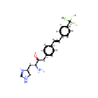 NC(CC1CNC=N1)C(=O)Cc1ccc(/C=C/c2ccc(C(F)(F)F)cc2)cc1